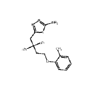 CCCC(CCC)(CCOc1ccccc1C)Cc1nnc(N)s1